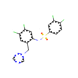 O=S(=O)(Nc1cc(Cl)c(Cl)cc1Cn1cncn1)c1ccc(Cl)c(Cl)c1